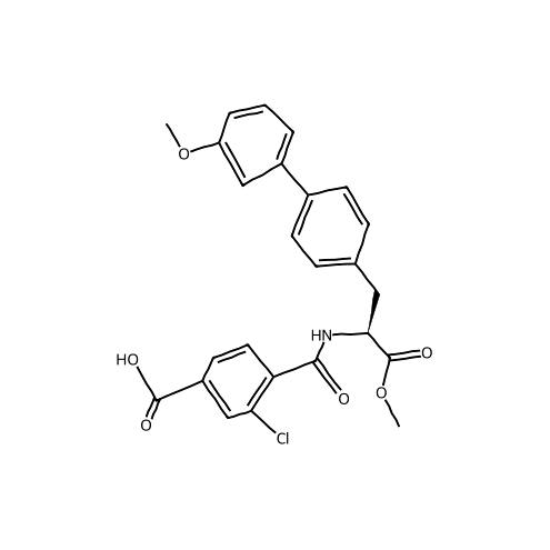 COC(=O)[C@H](Cc1ccc(-c2cccc(OC)c2)cc1)NC(=O)c1ccc(C(=O)O)cc1Cl